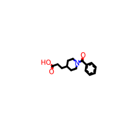 O=C(O)CCC1CCN(C(=O)c2ccccc2)CC1